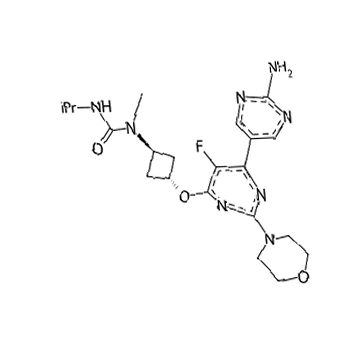 CC(C)NC(=O)N(C)[C@H]1C[C@H](Oc2nc(N3CCOCC3)nc(-c3cnc(N)nc3)c2F)C1